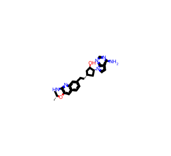 C[C@@H]1CNc2nc3cc(CC[C@@H]4C[C@@H](O)[C@H](n5ccc6c(N)ncnc65)C4)ccc3cc2O1